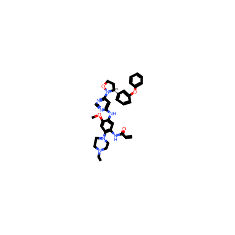 C=CC(=O)Nc1cc(Nc2cc(N3OCC[C@@H]3c3cccc(Oc4ccccc4)c3)ncn2)c(OC)cc1N1CCN(CC)CC1